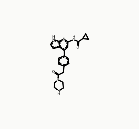 O=C(Nc1cc(-c2ccc(CC(=O)N3CCNCC3)cc2)c2cc[nH]c2n1)C1CC1